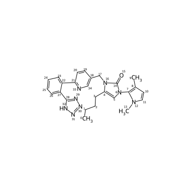 CCCCc1cn(-c2c(C)ccn2C)c(=O)n1Cc1ccc(-c2ccccc2-c2nnn[nH]2)nc1